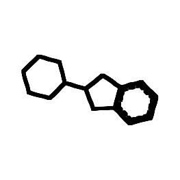 c1ccc2c(c1)CC(C1CCCCC1)C2